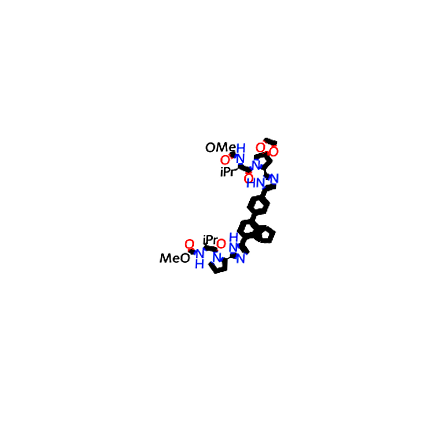 COC(=O)N[C@H](C(=O)N1CC2(C[C@H]1c1ncc(-c3ccc(-c4ccc(-c5cnc([C@@H]6CCCN6C(=O)[C@@H](NC(=O)OC)C(C)C)[nH]5)c5c4C4CCC5C4)cc3)[nH]1)OCCO2)C(C)C